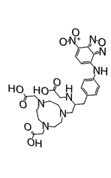 O=C(O)CNC(Cc1ccc(Nc2ccc([N+](=O)[O-])c3nonc23)cc1)CN1CCN(CC(=O)O)CCN(CC(=O)O)CC1